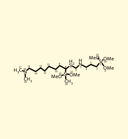 CO[Si](CCCNC[SiH2]C(CCCCCCCN(C)C)[Si](C)(OC)OC)(OC)OC